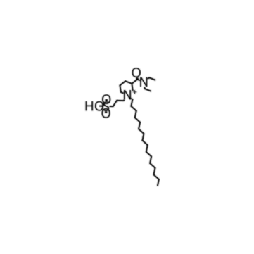 CCCCCCCCCCCCCCCC[N+]1(CCCS(=O)(=O)O)CCCC(C(=O)N(CC)CC)C1